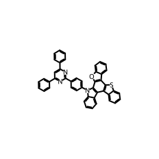 c1ccc(-c2cc(-c3ccccc3)nc(-c3ccc(-n4c5ccccc5c5c6c7ccccc7sc6c6c7ccccc7oc6c54)cc3)n2)cc1